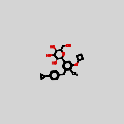 Cc1c(Cc2ccc(C3CC3)cc2)cc([C@@H]2O[C@H](CO)[C@@H](O)[C@H](O)[C@H]2O)cc1OC1CCC1